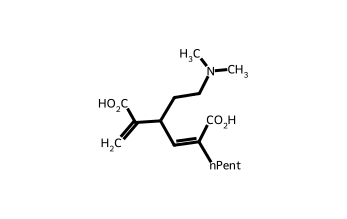 C=C(C(=O)O)C(C=C(CCCCC)C(=O)O)CCN(C)C